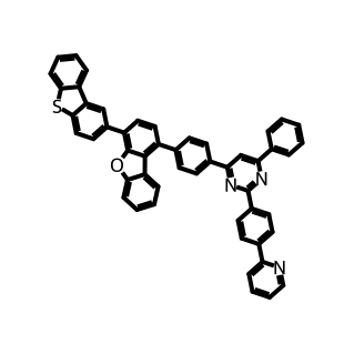 c1ccc(-c2cc(-c3ccc(-c4ccc(-c5ccc6sc7ccccc7c6c5)c5oc6ccccc6c45)cc3)nc(-c3ccc(-c4ccccn4)cc3)n2)cc1